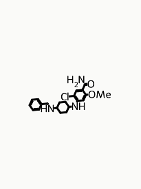 COc1cc(NC2CCC(NCc3ccccc3)CC2)c(Cl)cc1C(N)=O